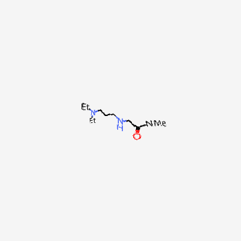 [CH2]NC(=O)CNCCCN(CC)CC